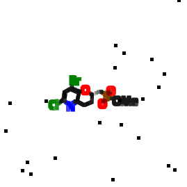 COS(=O)(=O)C[C@@H]1CCc2nc(Cl)cc(Br)c2O1